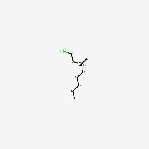 CCCC[CH2][SnH]([CH3])[CH2]CCl